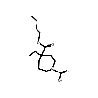 CCCCOC(=O)C1(CC)CCCN(C(=O)O)CC1